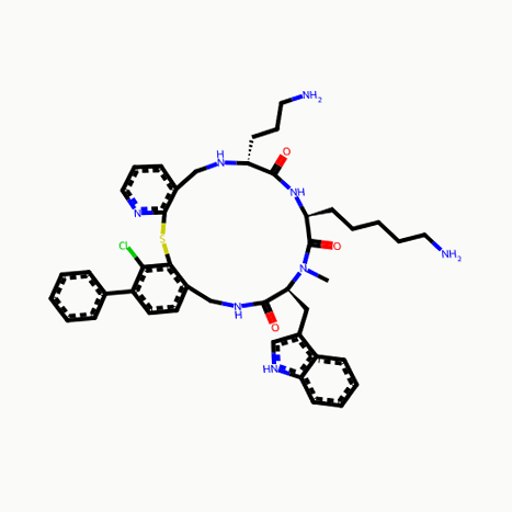 CN1C(=O)[C@H](CCCCCN)NC(=O)[C@@H](CCCN)NCc2cccnc2Sc2c(ccc(-c3ccccc3)c2Cl)CNC(=O)[C@@H]1Cc1c[nH]c2ccccc12